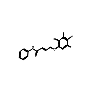 Cc1cc(OCC=CC(=O)Nc2ccccc2)c(Cl)c(C)c1Cl